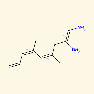 C=C/C=C(C)\C=C(\C)C/C(N)=C/N